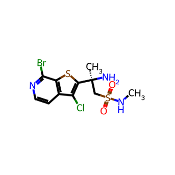 CNS(=O)(=O)C[C@](C)(N)c1sc2c(Br)nccc2c1Cl